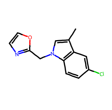 Cc1cn(Cc2ncco2)c2ccc(Cl)cc12